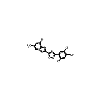 Oc1cc(Cl)c(-c2noc(-c3cn4cc(C(F)(F)F)cc(Br)c4n3)n2)cc1Cl